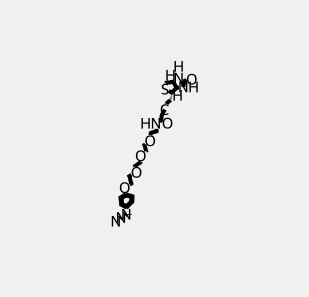 [N-]=[N+]=Nc1ccc(OCCOCCOCCOCCNC(=O)CCCC[C@@H]2SC[C@@H]3NC(=O)N[C@@H]32)cc1